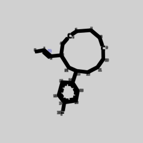 C/C=C/C1CCCCCCCCCC(c2ccc(F)cc2)C1